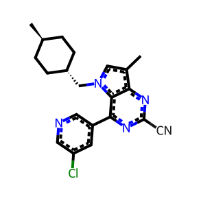 Cc1cn(C[C@H]2CC[C@H](C)CC2)c2c(-c3cncc(Cl)c3)nc(C#N)nc12